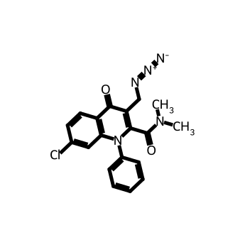 CN(C)C(=O)c1c(CN=[N+]=[N-])c(=O)c2ccc(Cl)cc2n1-c1ccccc1